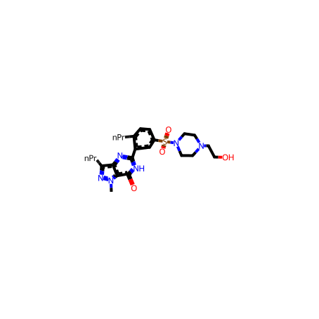 CCCc1ccc(S(=O)(=O)N2CCN(CCO)CC2)cc1-c1nc2c(CCC)nn(C)c2c(=O)[nH]1